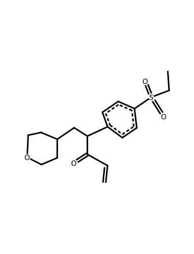 C=CC(=O)C(CC1CCOCC1)c1ccc(S(=O)(=O)CC)cc1